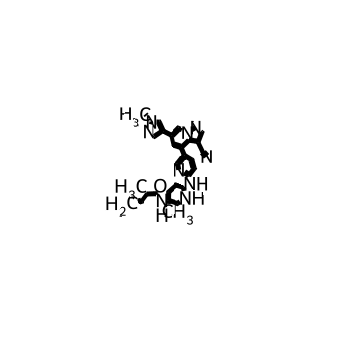 C=CC(C)C(=O)NC1(C)CCC(Nc2ccc(-c3cc(-c4cnn(C)c4)cn4ncc(C#N)c34)cn2)NC1